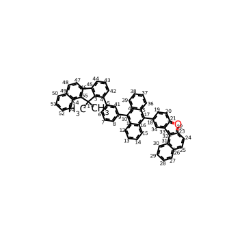 CC1(C)c2c(-c3cccc(-c4c5ccccc5c(-c5ccc6oc7ccc8ccccc8c7c6c5)c5ccccc45)c3)cccc2-c2ccc3ccccc3c21